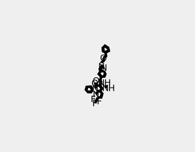 CNc1c(NC(=O)c2ccc3nn(CCOCc4ccccc4)cc3c2)c(=O)n(-c2ccccc2)c2nc(C(F)(F)F)ccc12